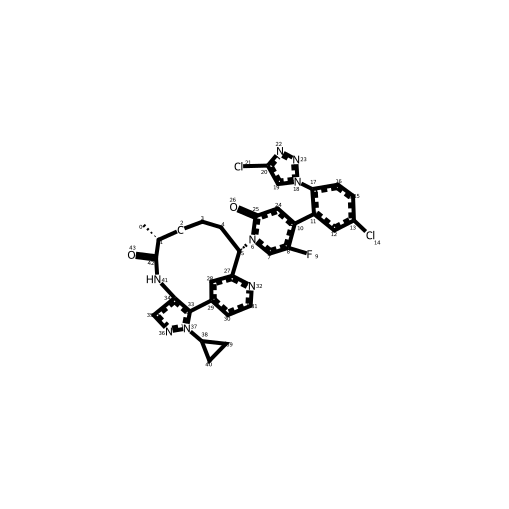 C[C@@H]1CCC[C@H](n2cc(F)c(-c3cc(Cl)ccc3-n3cc(Cl)nn3)cc2=O)c2cc(ccn2)-c2c(cnn2C2CC2)NC1=O